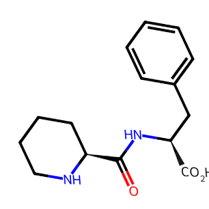 O=C(O)[C@H](Cc1ccccc1)NC(=O)[C@@H]1CCCCN1